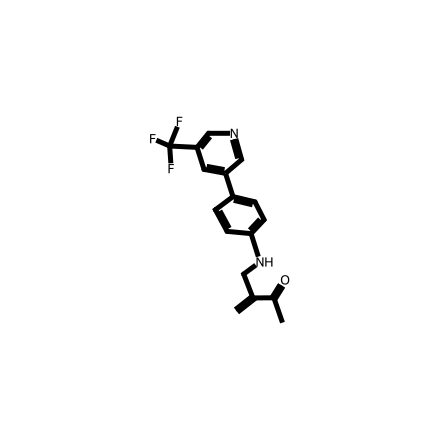 C=C(CNc1ccc(-c2cncc(C(F)(F)F)c2)cc1)C(C)=O